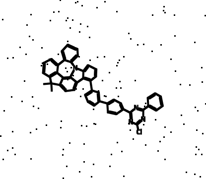 CC1(C)c2cccc3c2-c2c1ccc1c4c(-c5cccc(-c6ccc(-c7nc(Cl)nc(-c8ccccc8)n7)cc6)c5)cccc4n(c21)-c1ccccc1-3